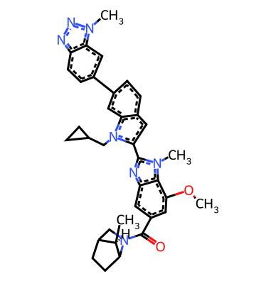 COc1cc(C(=O)N2CC3CCC2[C@@H]3C)cc2nc(-c3cc4ccc(-c5ccc6nnn(C)c6c5)cc4n3CC3CC3)n(C)c12